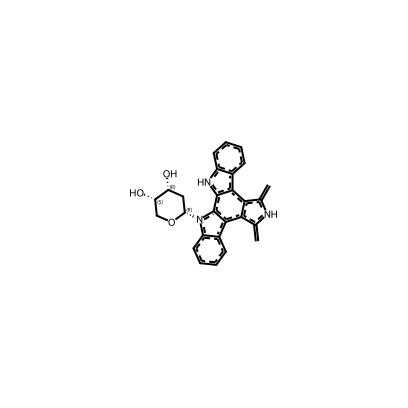 C=c1[nH]c(=C)c2c1c1c3ccccc3[nH]c1c1c2c2ccccc2n1[C@H]1C[C@@H](O)[C@@H](O)CO1